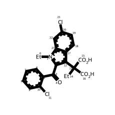 CCn1c(C(=O)c2ccccc2Cl)c(C(CC)(C(=O)O)C(=O)O)c2ccc(Cl)cc21